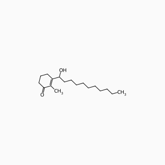 CCCCCCCCCCC(O)C1=C(C)C(=O)CCC1